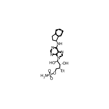 CC[C@H](COS(N)(=O)=O)[C@@H](O)[C@@H](O)n1cnc2c(N[C@H]3CCc4ccccc43)ncnc21